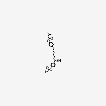 CC(C)CC(=O)Oc1ccc(CCCCCCC(S)c2ccc(OC(=O)CI)cc2)cc1